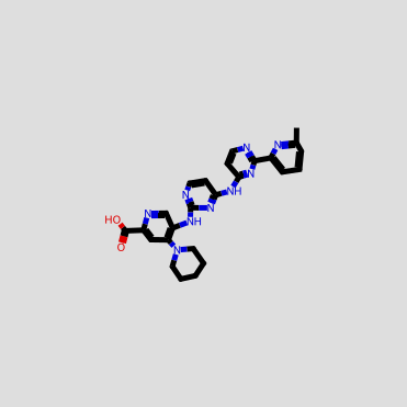 Cc1cccc(-c2nccc(Nc3ccnc(Nc4cnc(C(=O)O)cc4N4CCCCC4)n3)n2)n1